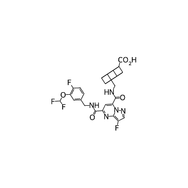 O=C(NCc1ccc(F)c(OC(F)F)c1)c1cc(C(=O)NCC23C4C5C2C2C3C4C52C(=O)O)n2ncc(F)c2n1